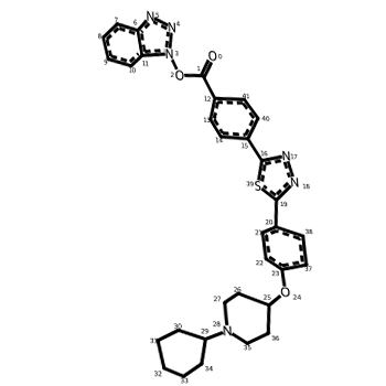 O=C(On1nnc2ccccc21)c1ccc(-c2nnc(-c3ccc(OC4CCN(C5CCCCC5)CC4)cc3)s2)cc1